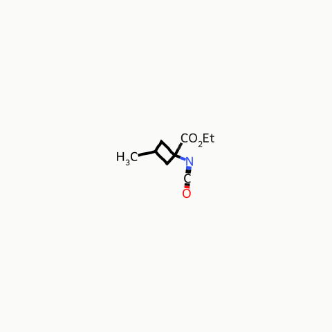 CCOC(=O)C1(N=C=O)CC(C)C1